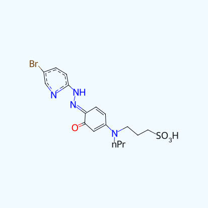 CCCN(CCCS(=O)(=O)O)C1=CC(=O)/C(=N/Nc2ccc(Br)cn2)C=C1